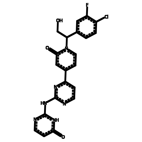 O=c1ccnc(Nc2nccc(-c3ccn(C(CO)c4ccc(Cl)c(F)c4)c(=O)c3)n2)[nH]1